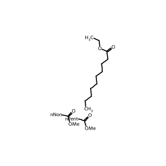 CCCCCC(=O)OC.CCCCCCCCCC(=O)OC.CCCCCCCCCC(=O)OCC